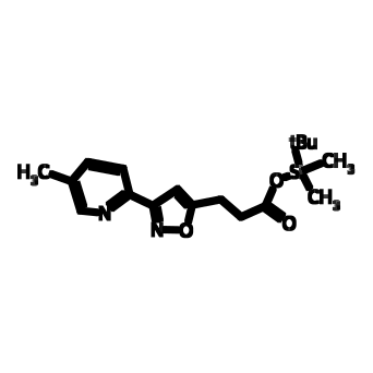 Cc1ccc(-c2cc(CCC(=O)O[Si](C)(C)C(C)(C)C)on2)nc1